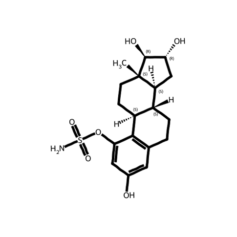 C[C@]12CC[C@@H]3c4c(cc(O)cc4OS(N)(=O)=O)CC[C@H]3[C@@H]1C[C@@H](O)[C@@H]2O